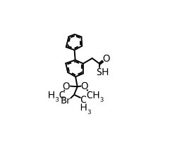 COC(OC)(c1ccc(-c2ccccc2)c(CC(=O)S)c1)C(C)Br